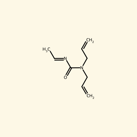 C=CCN(CC=C)C(=O)N=CC